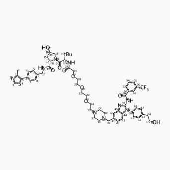 Cc1ncsc1-c1ccc(CNC(=O)[C@@H]2C[C@@H](O)CN2C(=O)C(NC(=O)COCCOCCOCCN2CCN(Cc3ccc4c(c3)nc(NC(=O)c3cccc(C(F)(F)F)c3)n4-c3ccc(CCO)cc3)CC2)C(C)(C)C)cc1